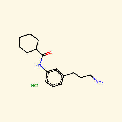 Cl.NCCCc1cccc(NC(=O)C2CCCCC2)c1